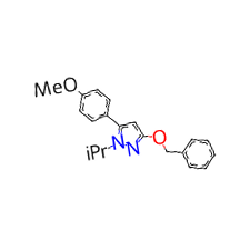 COc1ccc(-c2cc(OCc3ccccc3)nn2C(C)C)cc1